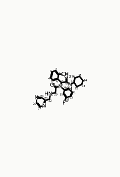 Cc1ccccc1C(C(=O)NC1CCCCC1)N(C(=O)CNCc1cnccn1)c1cccc(F)c1